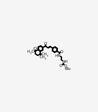 CC(C)(C)OC(=O)NCCNC(=O)c1ccc(/C=C/C(=O)c2ccc3c(c2)C(C)(C)CCC3(C)C)cc1